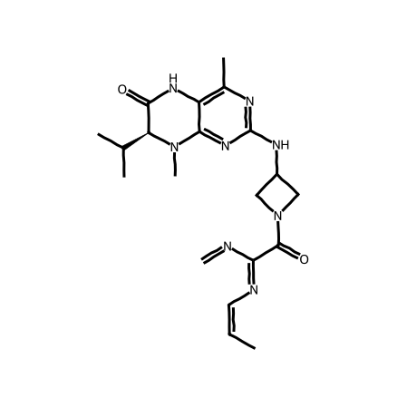 C=N/C(=N\C=C/C)C(=O)N1CC(Nc2nc(C)c3c(n2)N(C)[C@@H](C(C)C)C(=O)N3)C1